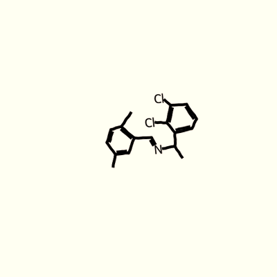 Cc1ccc(C)c(C=NC(C)c2cccc(Cl)c2Cl)c1